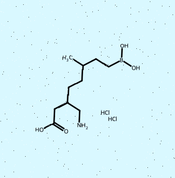 CC(CCB(O)O)CCC(CN)CC(=O)O.Cl.Cl